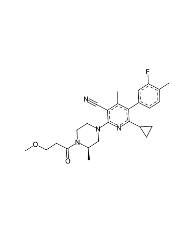 COCCC(=O)N1CCN(c2nc(C3CC3)c(-c3ccc(C)c(F)c3)c(C)c2C#N)C[C@H]1C